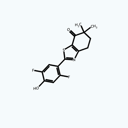 CC1(C)CCc2nc(-c3cc(F)c(O)cc3F)sc2C1=O